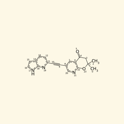 CC1(C)CC(=O)c2cc(C#Cc3ccc4cc[nH]c4n3)cnc2O1